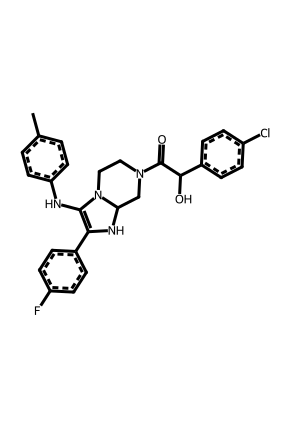 Cc1ccc(NC2=C(c3ccc(F)cc3)NC3CN(C(=O)C(O)c4ccc(Cl)cc4)CCN23)cc1